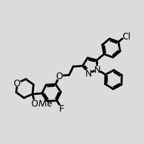 COC1(c2cc(F)cc(OCCc3cc(-c4ccc(Cl)cc4)n(-c4ccccc4)n3)c2)CCOCC1